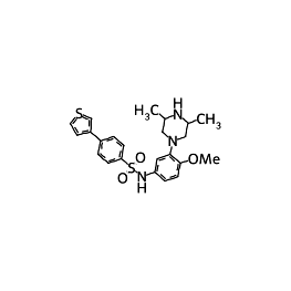 COc1ccc(NS(=O)(=O)c2ccc(-c3ccsc3)cc2)cc1N1CC(C)NC(C)C1